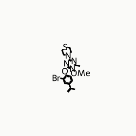 C=C(C)c1cc(Br)c(Oc2nc(C)nc(N3CCSCC3)n2)c(OC)c1